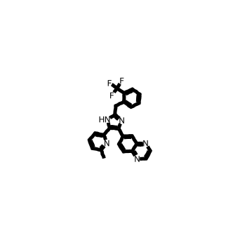 Cc1cccc(-c2[nH]c(Cc3ccccc3C(F)(F)F)nc2-c2ccc3nccnc3c2)n1